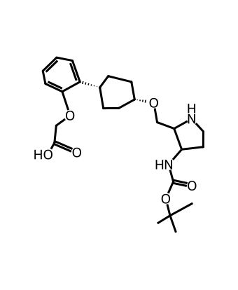 CC(C)(C)OC(=O)NC1CCNC1CO[C@H]1CC[C@@H](c2ccccc2OCC(=O)O)CC1